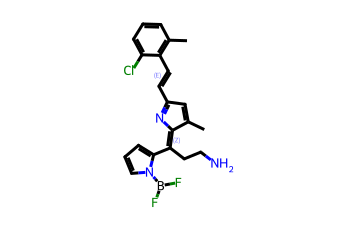 CC1=CC(/C=C/c2c(C)cccc2Cl)=NC/1=C(/CCN)c1cccn1B(F)F